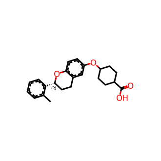 Cc1ccccc1[C@H]1CCc2cc(OC3CCC(C(=O)O)CC3)ccc2O1